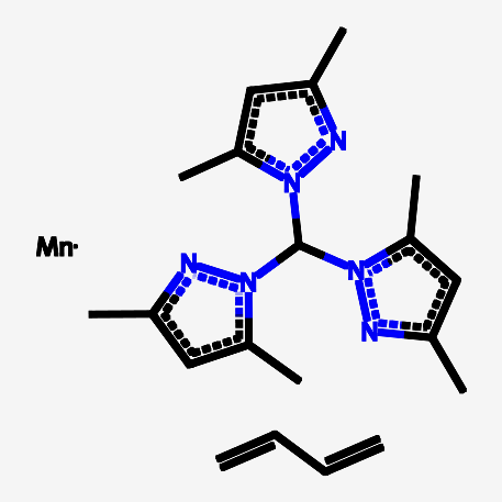 C=CC=C.Cc1cc(C)n(C(n2nc(C)cc2C)n2nc(C)cc2C)n1.[Mn]